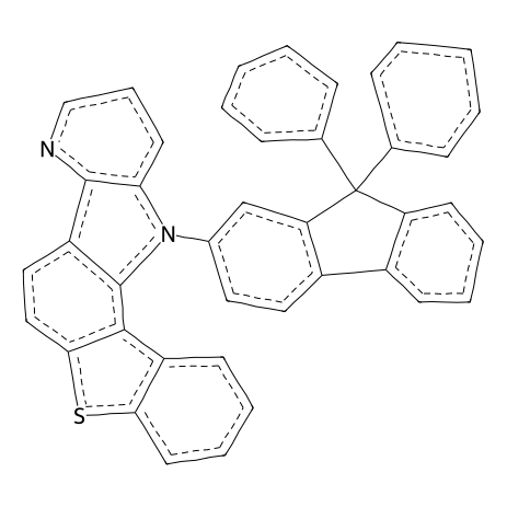 c1ccc(C2(c3ccccc3)c3ccccc3-c3ccc(-n4c5cccnc5c5ccc6sc7ccccc7c6c54)cc32)cc1